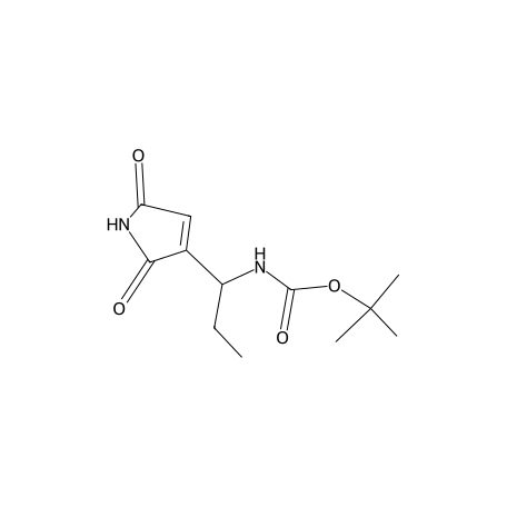 CCC(NC(=O)OC(C)(C)C)C1=CC(=O)NC1=O